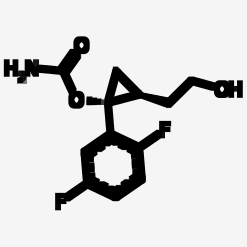 NC(=O)O[C@]1(c2cc(F)ccc2F)C[C@H]1CCO